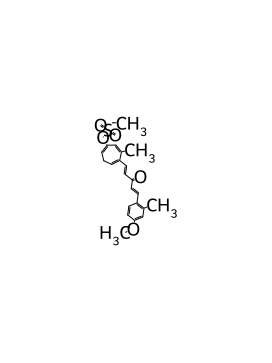 CCS(=O)(=O)OC1=CCC=C(/C=C/C(=O)/C=C/c2ccc(OC)cc2C)C(C)=C1